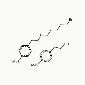 CSc1ccc(CCO)cc1.CSc1ccc(CCOCCCCCBr)cc1